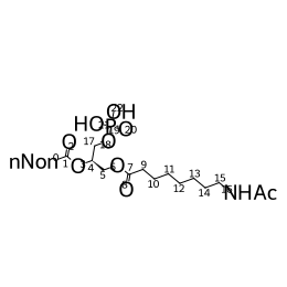 CCCCCCCCCC(=O)O[C@H](COC(=O)CCCCCCCNC(C)=O)COP(=O)(O)O